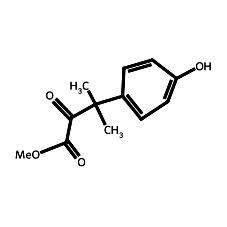 COC(=O)C(=O)C(C)(C)c1ccc(O)cc1